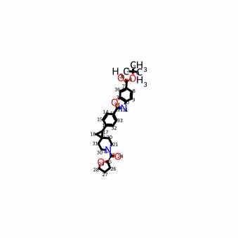 CC(C)(C)OC(=O)c1ccc2nc(-c3ccc(C4CC45CCN(C(=O)[C@H]4CCCO4)CC5)cc3)oc2c1